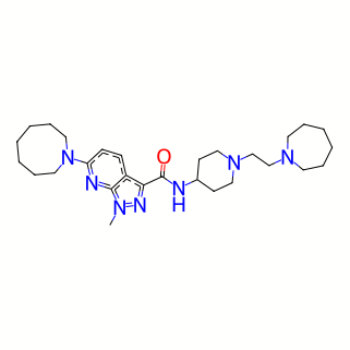 Cn1nc(C(=O)NC2CCN(CCN3CCCCCC3)CC2)c2ccc(N3CCCCCCC3)nc21